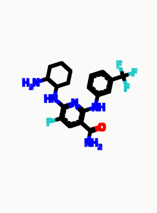 NC(=O)c1cc(F)c(NC2CCCCC2N)nc1Nc1cccc(C(F)(F)F)c1